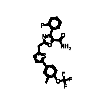 Cc1cc(-c2ccc(Cc3nc(-c4ccccc4F)c(C(N)=O)o3)s2)ccc1OC(F)(F)F